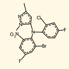 Cc1cc(N(c2ccc(F)cc2Cl)c2c(Br)cc(F)cc2[N+](=O)[O-])n(C)n1